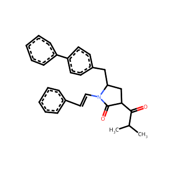 CC(C)C(=O)C1CC(Cc2ccc(-c3ccccc3)cc2)N(C=Cc2ccccc2)C1=O